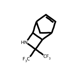 FC(F)(F)C1(C(F)(F)F)NC2C3C=CC(C3)C21